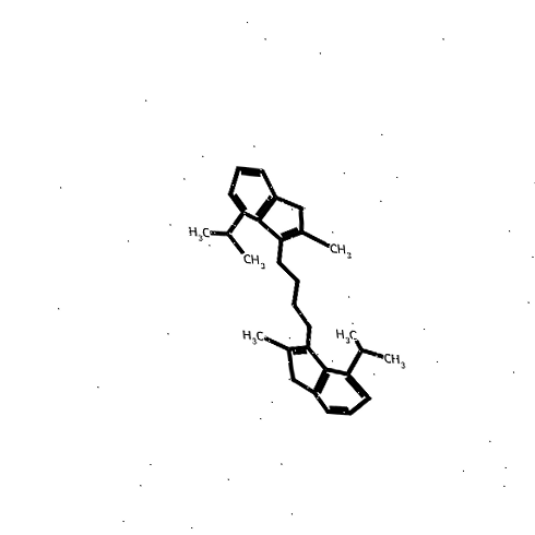 CC1=C(CCCCC2=C(C)[CH]c3cccc(C(C)C)c32)c2c(cccc2C(C)C)[CH]1